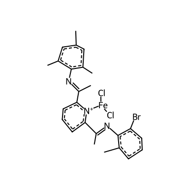 CC(=Nc1c(C)cc(C)cc1C)c1cccc(C(C)=Nc2c(C)cccc2Br)[n+]1[Fe]([Cl])[Cl]